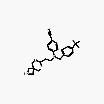 CC(C)(C)c1ccc(CN(CCC2OCC3(CNC3)CO2)c2ccc(C#N)cc2)cc1